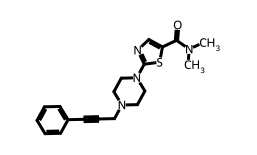 CN(C)C(=O)c1cnc(N2CCN(CC#Cc3ccccc3)CC2)s1